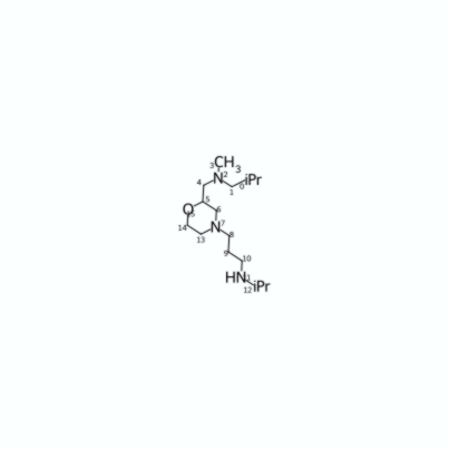 CC(C)CN(C)CC1CN(CCCNC(C)C)CCO1